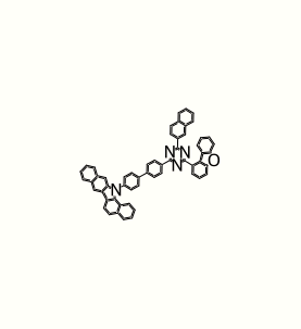 c1ccc2cc(-c3nc(-c4ccc(-c5ccc(-n6c7cc8ccccc8cc7c7ccc8ccccc8c76)cc5)cc4)nc(-c4cccc5oc6ccccc6c45)n3)ccc2c1